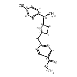 COC(=O)c1ccc(CC2=N[C@@H]([C@H](C)c3ccc(Cl)cc3)CC2)cc1